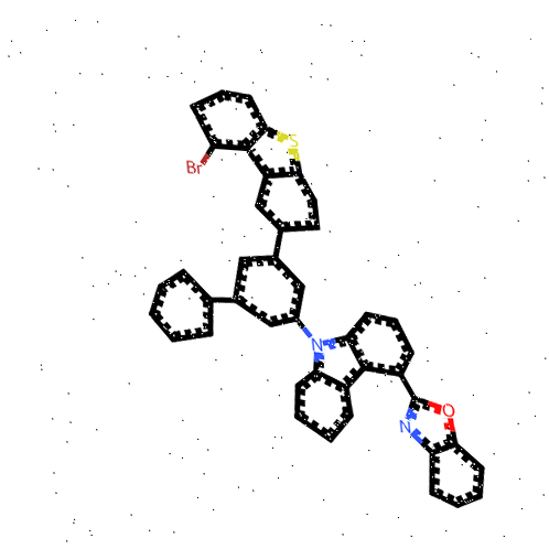 Brc1cccc2sc3ccc(-c4cc(-c5ccccc5)cc(-n5c6ccccc6c6c(-c7nc8ccccc8o7)cccc65)c4)cc3c12